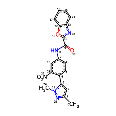 Cc1cc(-c2ccc(NC(=O)c3nc4ccccc4o3)cc2[N+](=O)[O-])n(C)n1